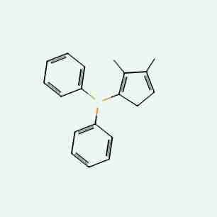 CCC1=C(P(c2ccccc2)c2ccccc2)CC=C1C